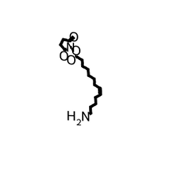 NCCCC/C=C\CCCCCCC(=O)ON1C(=O)CCC1=O